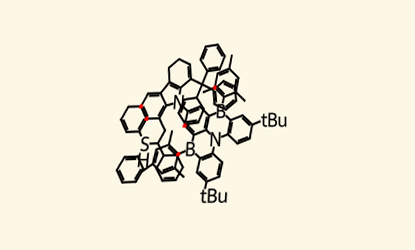 Cc1cc(C)c(B2c3cc(C(C)(C)C)ccc3N3c4ccc(C(C)(C)C)cc4B(c4c(C)cc(C)cc4C)c4cc(-n5c6c(c7cccc(CC(C8CC=CCC8)[SH](C8=CCCC=C8)c8ccccc8)c75)CCC=C6C(c5ccccc5)(c5ccccc5)C5C=CC=CC5)cc2c43)c(C)c1